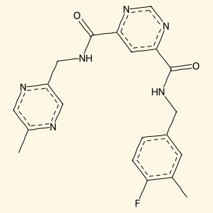 Cc1cnc(CNC(=O)c2cc(C(=O)NCc3ccc(F)c(C)c3)ncn2)cn1